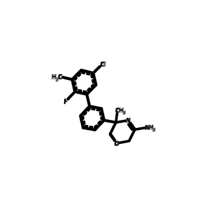 Cc1cc(Cl)cc(-c2cccc(C3(C)COCC(N)=N3)c2)c1F